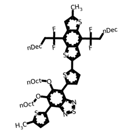 CCCCCCCCCCCC(F)(F)c1c2cc(-c3ccc(-c4c(OCCCCCCCC)c(OCCCCCCCC)c(-c5ccc(C)s5)c5nsnc45)s3)sc2c(C(F)(F)CCCCCCCCCCC)c2cc(C)sc12